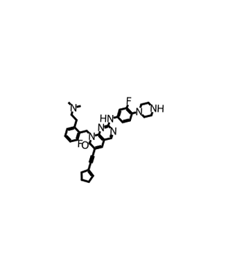 CN(C)CCc1cccc(F)c1Cn1c(=O)c(C#CC2=CCCC2)cc2cnc(Nc3ccc(N4CCNCC4)c(F)c3)nc21